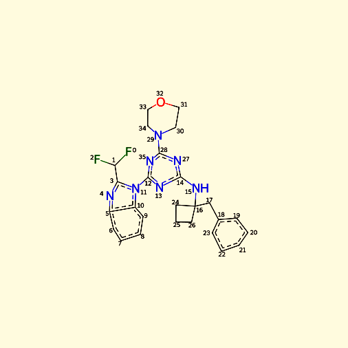 FC(F)c1nc2ccccc2n1-c1nc(NC2(Cc3ccccc3)CCC2)nc(N2CCOCC2)n1